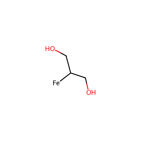 OC[CH]([Fe])CO